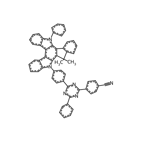 CC1(C)c2ccccc2-c2c1c1c(c3ccccc3n1-c1ccc(-c3nc(-c4ccccc4)nc(-c4ccc(C#N)cc4)n3)cc1)c1c3ccccc3n(-c3ccccc3)c21